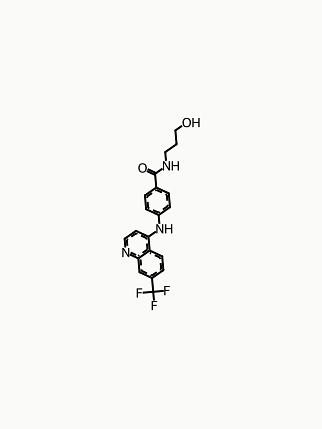 O=C(NCCCO)c1ccc(Nc2ccnc3cc(C(F)(F)F)ccc23)cc1